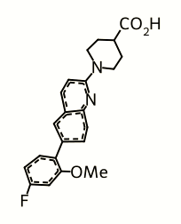 COc1cc(F)ccc1-c1ccc2nc(N3CCC(C(=O)O)CC3)ccc2c1